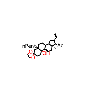 C=C[C@@H]1CC2C3CCC4(CCCCC)CC5(CCC4(O)C3=CC[C@]2(C)C1C(C)=O)OCCO5